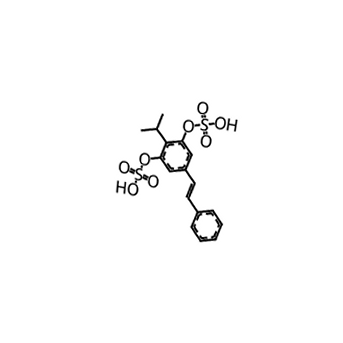 CC(C)c1c(OS(=O)(=O)O)cc(C=Cc2ccccc2)cc1OS(=O)(=O)O